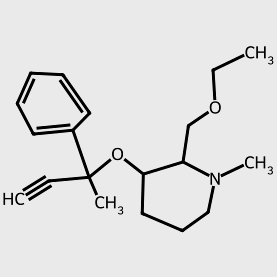 C#CC(C)(OC1CCCN(C)C1COCC)c1ccccc1